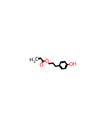 C=CC(=O)OCCCc1ccc(O)cc1